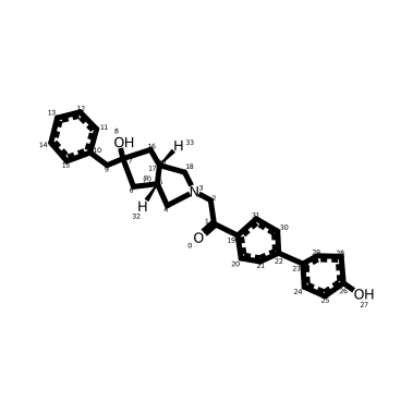 O=C(CN1C[C@@H]2CC(O)(Cc3ccccc3)C[C@@H]2C1)c1ccc(-c2ccc(O)cc2)cc1